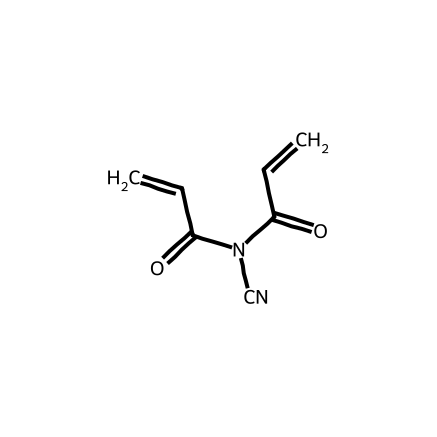 C=CC(=O)N(C#N)C(=O)C=C